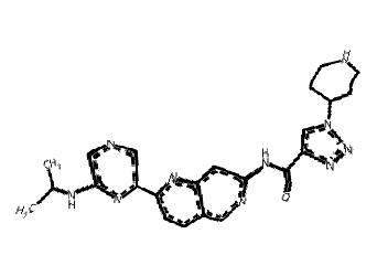 CC(C)Nc1cncc(-c2ccc3cnc(NC(=O)c4cn(C5CCNCC5)nn4)cc3n2)n1